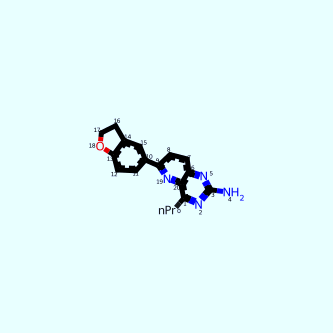 CCCc1nc(N)nc2ccc(-c3ccc4c(c3)CCO4)nc12